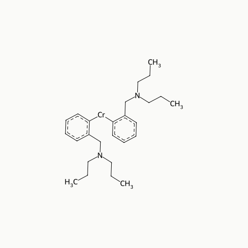 CCCN(CCC)Cc1cccc[c]1[Cr][c]1ccccc1CN(CCC)CCC